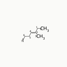 CC/C(C)=C/CCI